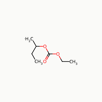 [CH2]C(CC)OC(=O)OCC